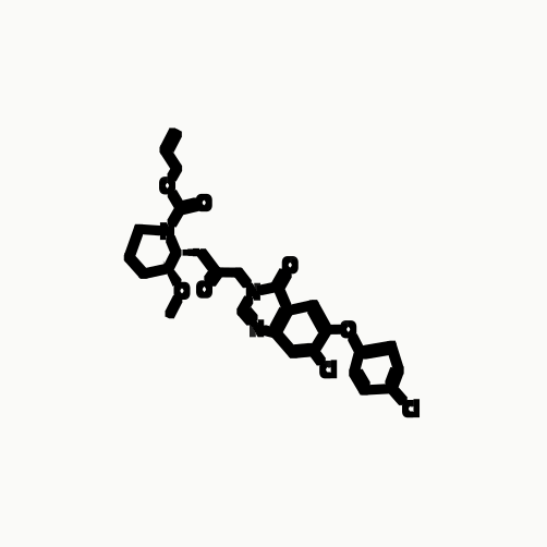 C=CCOC(=O)N1CCC[C@H](OC)[C@H]1CC(=O)Cn1cnc2cc(Cl)c(Oc3ccc(Cl)cc3)cc2c1=O